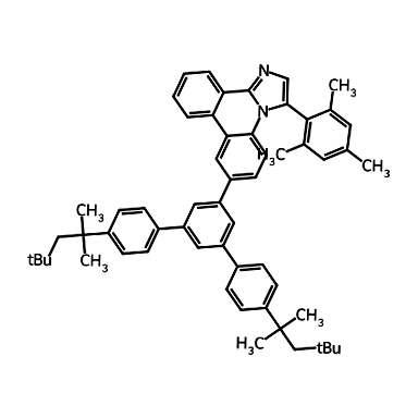 Cc1cc(C)c(-c2cnc3c4ccccc4c4cc(-c5cc(-c6ccc(C(C)(C)CC(C)(C)C)cc6)cc(-c6ccc(C(C)(C)CC(C)(C)C)cc6)c5)ccc4n23)c(C)c1